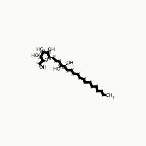 CCCCCCCCCCCCCC[C@@H](O)[C@@H](O)CCC[C@H]1OC(CO)[C@H](O)C(O)C1O